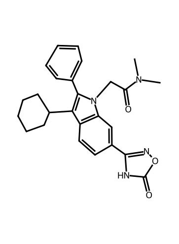 CN(C)C(=O)Cn1c(-c2ccccc2)c(C2CCCCC2)c2ccc(-c3noc(=O)[nH]3)cc21